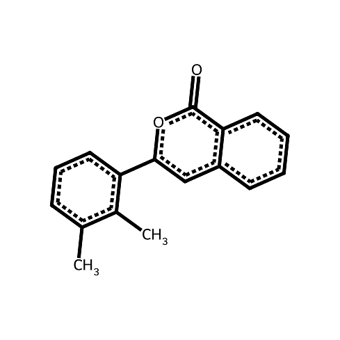 Cc1cccc(-c2cc3ccccc3c(=O)o2)c1C